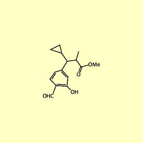 COC(=O)C(C)C(c1ccc(C=O)c(O)c1)C1CC1